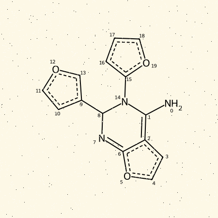 NC1=c2ccoc2=NC(c2ccoc2)N1c1ccco1